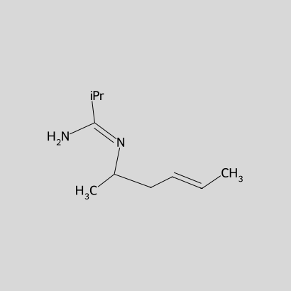 C/C=C/CC(C)/N=C(\N)C(C)C